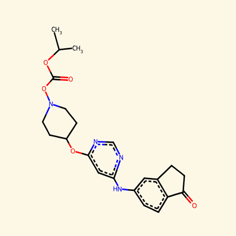 CC(C)OC(=O)ON1CCC(Oc2cc(Nc3ccc4c(c3)CCC4=O)ncn2)CC1